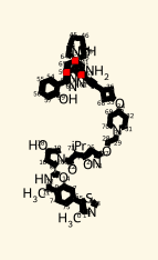 Cc1ncsc1-c1ccc([C@H](C)NC(=O)[C@@H]2C[C@@H](O)CN2C(=O)[C@@H](c2cc(OCCN3CCC(OC4CC(C#Cc5cc(N6C7CC[C@@H]6CN(c6cc(-c8ccccc8O)nnc6N)C7)ccn5)C4)CC3)no2)C(C)C)cc1